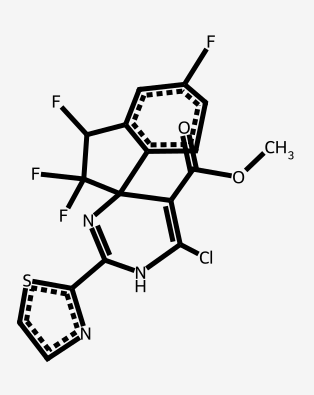 COC(=O)C1=C(Cl)NC(c2nccs2)=NC12c1ccc(F)cc1C(F)C2(F)F